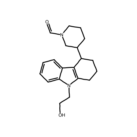 O=CN1CCCC(C2CCCc3c2c2ccccc2n3CCO)C1